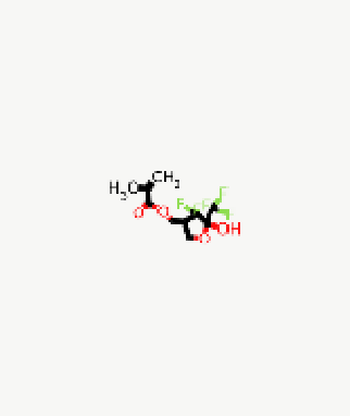 C=C(C)C(=O)OCC1COC(O)(C(F)(F)F)C1(F)F